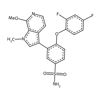 COc1nccc2c(-c3cc(S(N)(=O)=O)ccc3Oc3ccc(F)cc3F)cn(C)c12